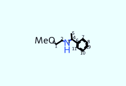 COCCNC(C)c1cc[c]cc1